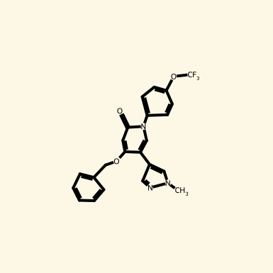 Cn1cc(-c2cn(-c3ccc(OC(F)(F)F)cc3)c(=O)cc2OCc2ccccc2)cn1